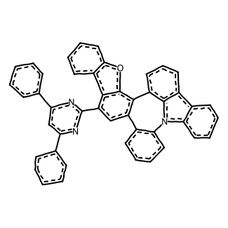 c1ccc(-c2cc(-c3ccccc3)nc(-c3cc4c(c5oc6ccccc6c35)-c3cccc5c6ccccc6n(c35)-c3ccccc3-4)n2)cc1